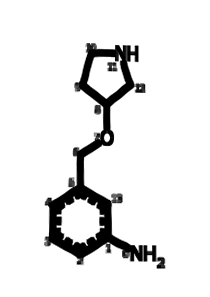 Nc1cccc(COC2CCNC2)c1